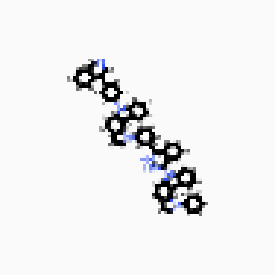 c1ccc(-n2ccc3ccc4c(c5ccccc5n4C4=c5ccccc5=C(c5cccc(-n6ccc7ccc8c(c9ccccc9n8-c8ccc(-c9cncc%10ccccc9%10)cc8)c76)c5)NN4)c32)cc1